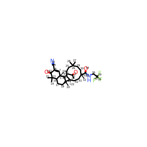 CC(=O)C[C@@H]1[C@@]2(C)C=C(C#N)C(=O)C(C)(C)C2CC[C@@]1(C)[C@@]1(C)CCCC(C)(C)CC[C@](C)(C(=O)NCC(F)(F)F)CC1